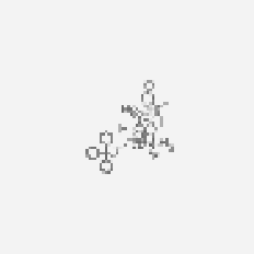 C[C@@H]1C[C@H]2[C@@H]3C[C@H](F)C4=CC(=O)C=C[C@]4(C)[C@@]3(F)[C@@H](O)C[C@]2(C)[C@@]1(OC(=O)CCCOC(c1ccccc1)(c1ccccc1)c1ccccc1)C(=O)SCF